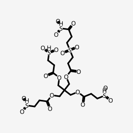 O=C(CC[SH](=O)=O)OCC(COC(=O)CC[SH](=O)=O)(COC(=O)CC[SH](=O)=O)COC(=O)CCS(=O)(=O)CCC(=O)[SH](=O)=O